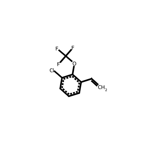 C=[C]c1cccc(Cl)c1OC(F)(F)F